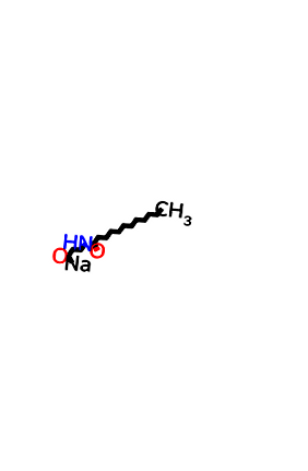 CCCCCCCCCCCC(=O)NCC[C](=O)[Na]